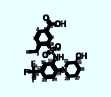 CCc1ccc(C(=O)O)cc1S(=O)(=O)Nc1cc(C(F)(F)F)ccc1N1CCC[C@@H](O)C1